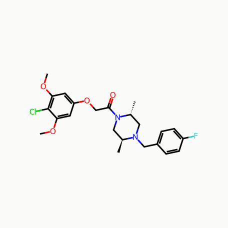 COc1cc(OCC(=O)N2C[C@H](C)N(Cc3ccc(F)cc3)C[C@H]2C)cc(OC)c1Cl